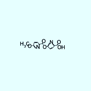 COc1ccc(C(=O)Oc2ccc(C(=O)O)nc2)nc1